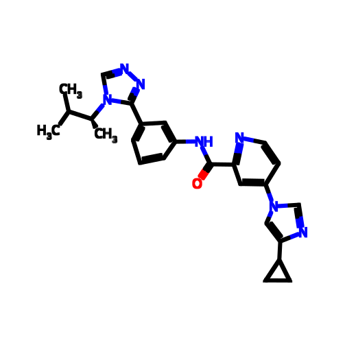 CC(C)[C@H](C)n1cnnc1-c1cccc(NC(=O)c2cc(-n3cnc(C4CC4)c3)ccn2)c1